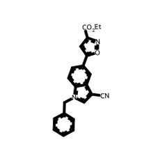 CCOC(=O)c1cc(-c2ccc3c(c2)c(C#N)cn3Cc2ccccc2)on1